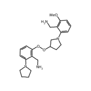 COc1cccc(N2CCC(OOc3cccc(N4CCCC4)c3CN)C2)c1CN